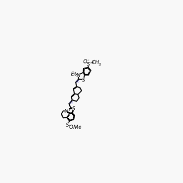 CCN1/C(=C/C2=CC3=C/C(=C/c4sc5ccc(SOC)c6c5[n+]4CCC6)CCC3CC2)Sc2ccc([S+](C)[O-])cc21